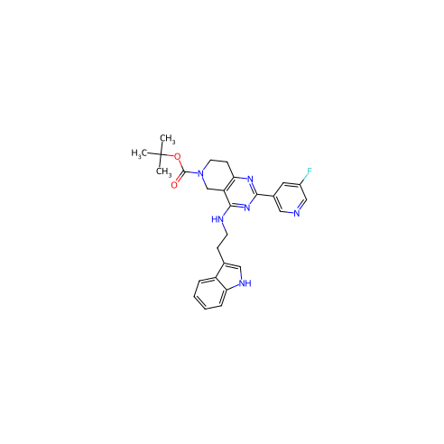 CC(C)(C)OC(=O)N1CCc2nc(-c3cncc(F)c3)nc(NCCc3c[nH]c4ccccc34)c2C1